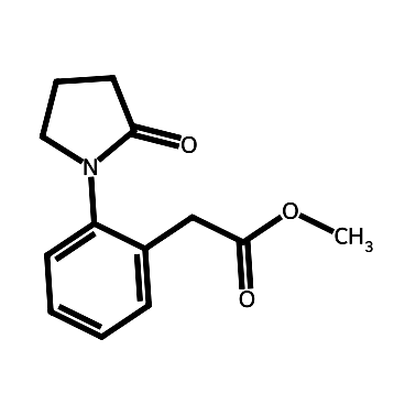 COC(=O)Cc1ccccc1N1CCCC1=O